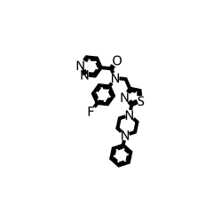 O=C(c1ccnnc1)N(Cc1csc(N2CCN(c3ccccc3)CC2)n1)c1ccc(F)cc1